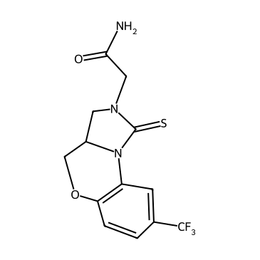 NC(=O)CN1CC2COc3ccc(C(F)(F)F)cc3N2C1=S